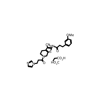 COc1cccc(CCC(=O)Nc2sc3c(c2C#N)CCN(C(=O)CCn2ccnc2)C3)c1.O=C(O)CC(=O)O